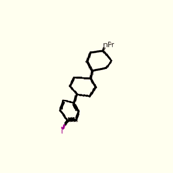 CCCC1CCC(C2CCC(c3ccc(I)cc3)CC2)CC1